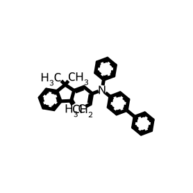 C=C1/C(=C\C(=C/C)N(c2ccccc2)c2ccc(-c3ccccc3)cc2)C(C)(C)c2ccccc21